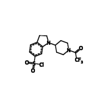 O=C(N1CCC(N2CCc3ccc(S(=O)(=O)Cl)cc32)CC1)C(F)(F)F